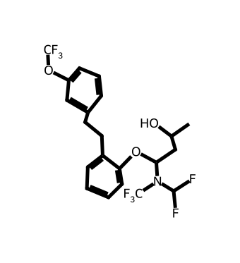 CC(O)CC(Oc1ccccc1CCc1cccc(OC(F)(F)F)c1)N(C(F)F)C(F)(F)F